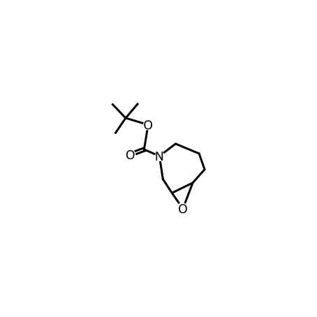 CC(C)(C)OC(=O)N1CCCC2OC2C1